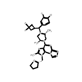 Cc1nc2c(N3C[C@@H](C)N(C(c4ccc(Cl)c(Cl)c4)C4CC(F)(F)C4)C[C@@H]3C)nc3nncn3c2n1C[C@@H]1CCCO1